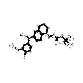 COc1cc(N(C)c2ccc3c(c2)CCC[C@H]3CNC(=O)OC(C)(C)C)ccc1F